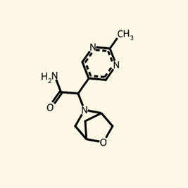 Cc1ncc(C(C(N)=O)N2CC3CC2CO3)cn1